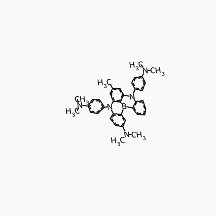 Cc1cc2c3c(c1)N(c1ccc(N(C)C)cc1)c1ccc(N(C)C)cc1B3c1ccccc1N2c1ccc(N(C)C)cc1